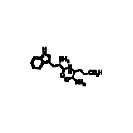 NC(=O)[C@H](CCC(=O)O)NC(=O)[C@@H](N)Cc1c[nH]c2ccccc12